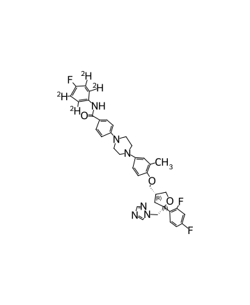 [2H]c1c([2H])c(NC(=O)c2ccc(N3CCN(c4ccc(OC[C@@H]5CO[C@@](Cn6cncn6)(c6ccc(F)cc6F)C5)c(C)c4)CC3)cc2)c([2H])c([2H])c1F